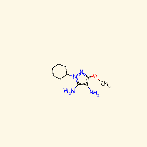 COc1nn(C2CCCCC2)c(N)c1N